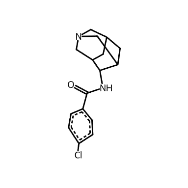 O=C(NC1C2CC3CC1CN(C3)C2)c1ccc(Cl)cc1